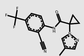 Cc1cnn(C2(C(=O)Nc3ccc(C(F)(F)F)cc3C#N)CC2)c1